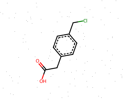 O=C(O)Cc1ccc(CCl)cc1